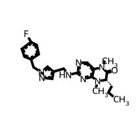 CCC[C@H]1C(=O)N(C)c2cnc(NCc3cnn(Cc4ccc(F)cc4)c3)nc2N1C